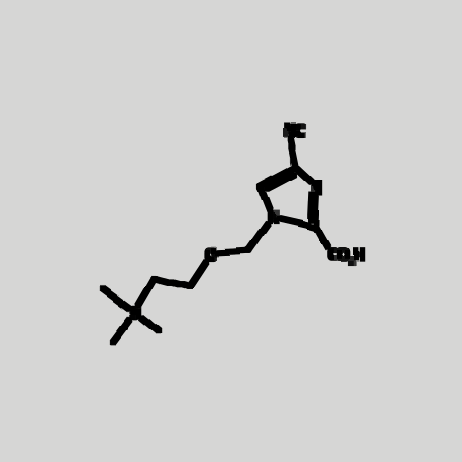 [C-]#[N+]c1cn(COCC[Si](C)(C)C)c(C(=O)O)n1